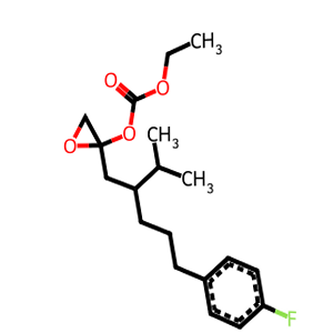 CCOC(=O)OC1(CC(CCCc2ccc(F)cc2)C(C)C)CO1